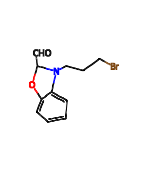 O=CC1Oc2ccccc2N1CCCBr